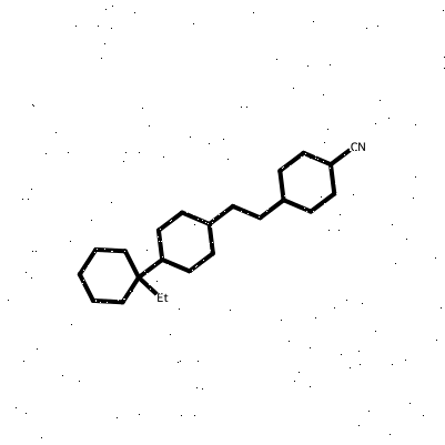 CCC1(C2CCC(CCC3CCC(C#N)CC3)CC2)CCCCC1